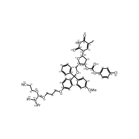 COc1ccc(C(OC[C@H]2O[C@@H](n3cc(C)c(=O)[nH]c3=O)C[C@H]2OC(=O)Oc2ccc(Cl)cc2)(c2ccccc2)c2ccc(OCCCOP(OCCC#N)N(C(C)C)C(C)C)cc2)cc1